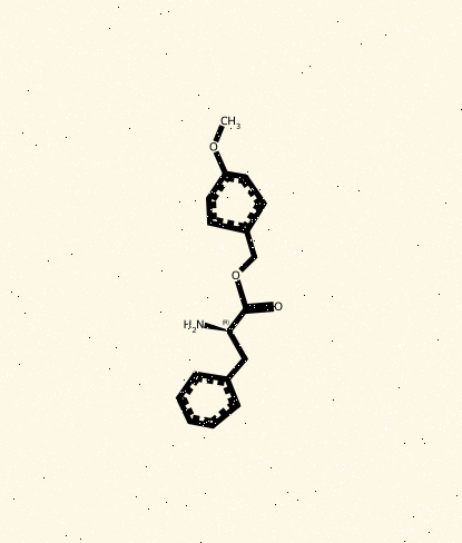 COc1ccc(COC(=O)[C@H](N)Cc2ccccc2)cc1